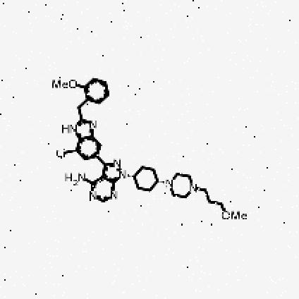 COCCCN1CCN([C@H]2CC[C@@H](n3nc(-c4cc(Cl)c5[nH]c(Cc6ccccc6OC)nc5c4)c4c(N)ncnc43)CC2)CC1